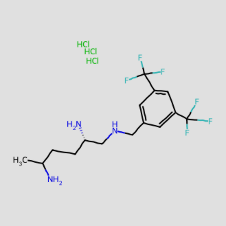 CC(N)CC[C@H](N)CNCc1cc(C(F)(F)F)cc(C(F)(F)F)c1.Cl.Cl.Cl